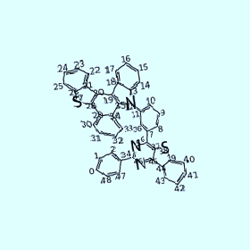 c1ccc(-c2nc(-c3cccc(-n4c5ccccc5c5c6c7ccccc7sc6c6ccccc6c54)c3)c3sc4ccccc4c3n2)cc1